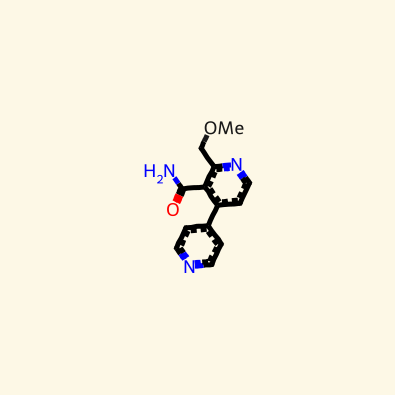 COCc1nccc(-c2ccncc2)c1C(N)=O